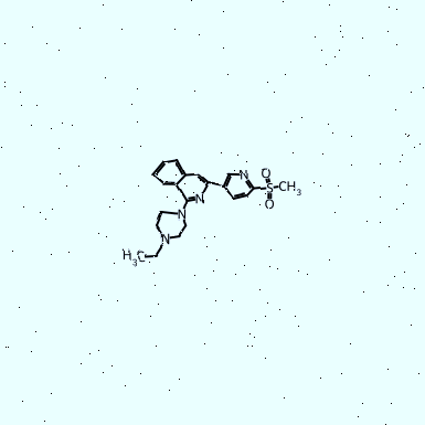 CCN1CCN(c2nc(-c3ccc(S(C)(=O)=O)nc3)cc3ccccc23)CC1